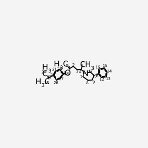 CC(CCC(C)N1CCC[C@H](c2ccccc2)C1)Oc1ccc(C(C)C)cc1